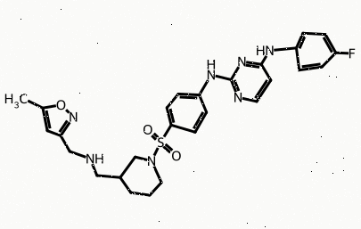 Cc1cc(CNCC2CCCN(S(=O)(=O)c3ccc(Nc4nccc(Nc5ccc(F)cc5)n4)cc3)C2)no1